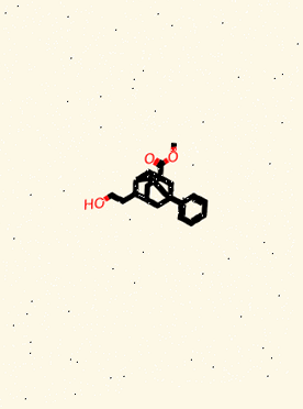 COC(=O)C12CC3CC(c4ccccc4)(CC(C1)C3CCO)C2